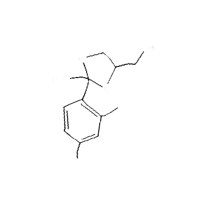 CC1(c2ccc(Cl)cc2Cl)OCC(CO)O1